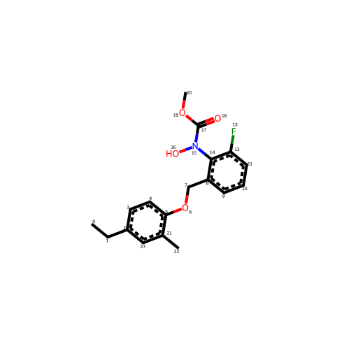 CCc1ccc(OCc2cccc(F)c2N(O)C(=O)OC)c(C)c1